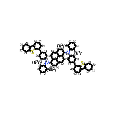 CCCc1cccc(CCC)c1N(c1ccc(-c2cccc3c2sc2ccccc23)cc1)c1ccc2ccc3c(N(c4ccc(-c5cccc6c5sc5ccccc56)cc4)c4c(CCC)cccc4CCC)ccc4ccc1c2c43